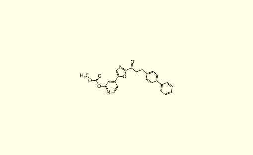 COC(=O)Oc1cc(-c2cnc(C(=O)CCc3ccc(-c4ccccc4)cc3)o2)ccn1